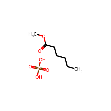 CCCCCC(=O)OC.O=S(=O)(O)O